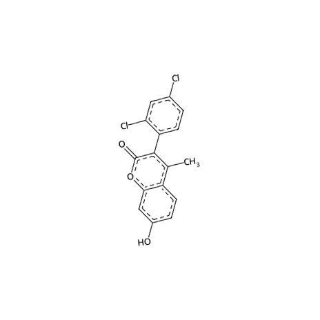 Cc1c(-c2ccc(Cl)cc2Cl)c(=O)oc2cc(O)ccc12